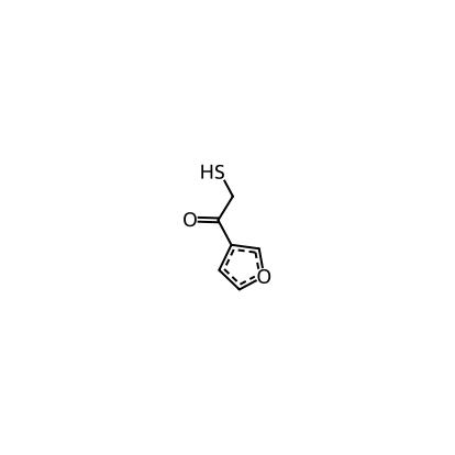 O=C(CS)c1ccoc1